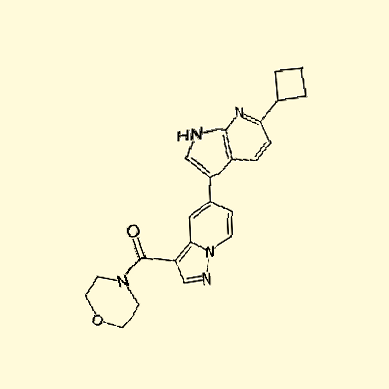 O=C(c1cnn2ccc(-c3c[nH]c4nc(C5CCC5)ccc34)cc12)N1CCOCC1